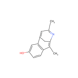 CC1=NC2=C(C)c3ccc(O)cc3C(=C1)C2